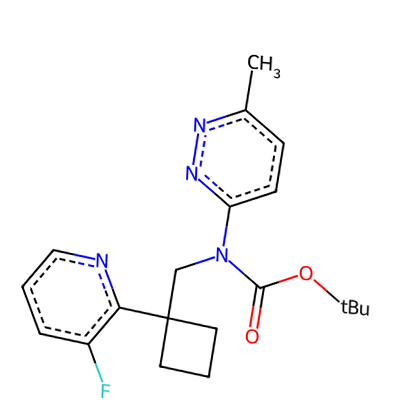 Cc1ccc(N(CC2(c3ncccc3F)CCC2)C(=O)OC(C)(C)C)nn1